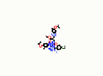 CCOC(=O)C(CNC(=O)N(Cc1ccc(Cl)cc1)/C(=N/c1ccc(OC(C)C)c(C)c1)N(C)N)CNc1ccc(OC(C)C)c(C)c1